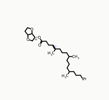 C/C(=C\CCC(=O)O[C@@H]1COC2CCOC21)CCCC(C)CCCC(C)CCCC(C)C